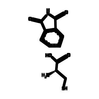 N[C@@H](CS)C(=O)O.O=C1NC(=O)c2ccccc21